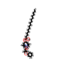 CCCCCCCCCCCCCCCCCC(=O)OC1CC(C)(C)N(OCC(C)(C)OC2CCCCC2)C(C)(C)C1